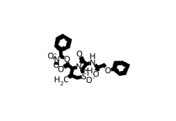 C=C1C[S+]([O-])[C@@H]2C(NC(=O)COc3ccccc3)C(=O)N2C1C(=O)OC(c1ccccc1)[N+](=O)[O-]